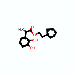 CC(C(=O)OCCc1ccccc1)c1cccc(O)c1O